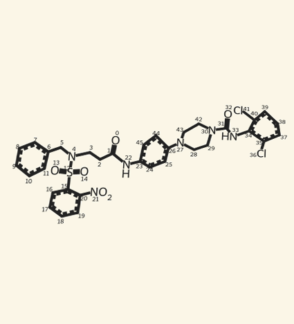 O=C(CCN(Cc1ccccc1)S(=O)(=O)c1ccccc1[N+](=O)[O-])Nc1ccc(N2CCN(C(=O)Nc3c(Cl)cccc3Cl)CC2)cc1